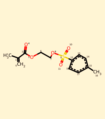 C=C(C)C(=O)OCCOS(=O)(=O)c1ccc(C)cc1